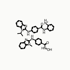 CC(C)n1c(Nc2ccc(C(=O)Nc3ccccc3N)cc2)nc2ccccc21.Cn1c(Nc2ccc(C(=O)NO)cc2)nc2ccccc21